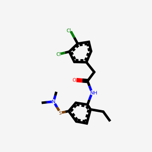 CCc1ccc(SN(C)C)cc1NC(=O)Cc1ccc(Cl)c(Cl)c1